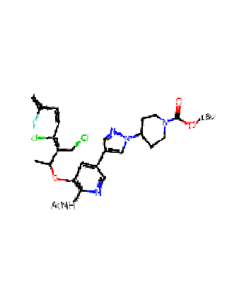 C=C(F)/C=C\C(Cl)=C(/CCl)C(C)Oc1cc(-c2cnn(C3CCN(C(=O)OC(C)(C)C)CC3)c2)cnc1NC(C)=O